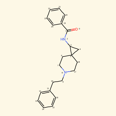 O=C(NC1CC12CCN(CCc1ccccc1)CC2)c1ccccc1